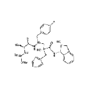 COC(=O)N[C@H](C(=O)NN(Cc1ccc(Br)cc1)C[C@](O)(Cc1ccccc1)C(=O)N[C@H]1c2ccccc2C[C@H]1O)C(C)(C)C